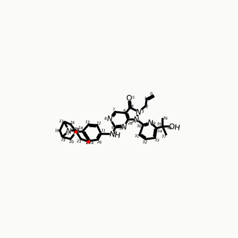 C=CCn1c(=O)c2cnc(Nc3ccc(N4CC5CC(C4)N5CCF)cc3)nc2n1-c1cccc(C(C)(C)O)n1